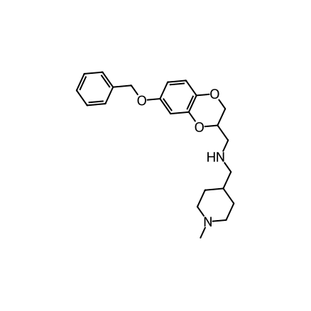 CN1CCC(CNCC2COc3ccc(OCc4ccccc4)cc3O2)CC1